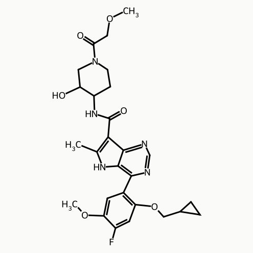 COCC(=O)N1CCC(NC(=O)c2c(C)[nH]c3c(-c4cc(OC)c(F)cc4OCC4CC4)ncnc23)C(O)C1